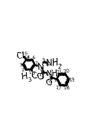 Cc1ccc(Cl)cc1N(CN)C(=O)NC(=O)c1ccccc1